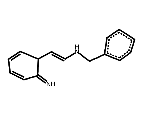 N=C1C=CC=CC1C=CNCc1ccccc1